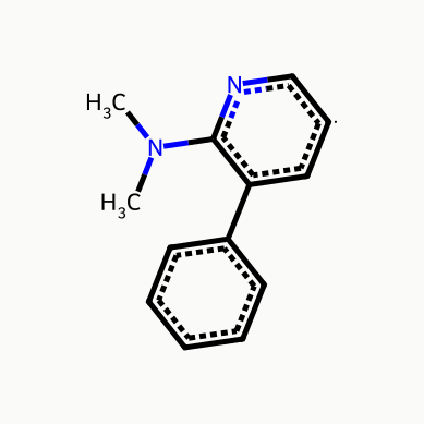 CN(C)c1nc[c]cc1-c1ccccc1